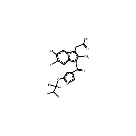 Cc1c(CC(=O)O)c2cc(O)c(F)cc2n1C(=O)c1csc(OC(F)(F)C(F)F)c1